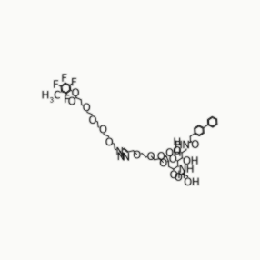 Cc1c(F)c(F)c(F)c(OC(=O)CCOCCOCCOCCOCCn2cc(COCCOCCO[C@]3(C(=O)O)C[C@H](O)[C@@H](NC(=O)CO)[C@H]([C@H](O)[C@H](O)CNC(=O)Cc4ccc(-c5ccccc5)cc4)O3)nn2)c1F